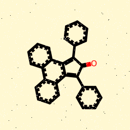 O=C1C(c2ccccc2)=c2c(c3ccccc3c3ccccc23)=C1c1ccccc1